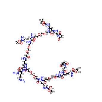 CC(C)(C)OC(=O)NCCCCC(NC(=O)CCOCCOCCNC(=O)C(CCCCNC(=O)OC(C)(C)C)NC(=O)CCN1C(=O)C=CC1=O)C(=O)NCCOCCOCCC(=O)NCCCCC(NC(=O)CCOCCOCCNC(=O)C(CCCCNC(=O)OC(C)(C)C)NC(=O)CCOCCOCCNC(=O)C(CCCCNC(=O)OC(C)(C)C)NC(=O)CCN1C(=O)C=CC1=O)C(=O)NC(CCCCN)C(N)=O